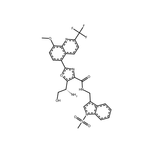 COc1ccc(-c2nc(C(=O)NCc3cn(S(C)(=O)=O)c4ccccc34)c([C@H](N)CO)o2)c2ccc(C(F)(F)F)nc12